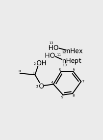 CC(O)Oc1ccccc1.CCCCCCCO.CCCCCCO